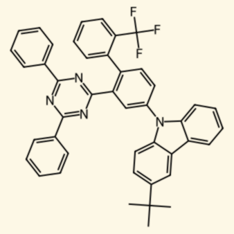 CC(C)(C)c1ccc2c(c1)c1ccccc1n2-c1ccc(-c2ccccc2C(F)(F)F)c(-c2nc(-c3ccccc3)nc(-c3ccccc3)n2)c1